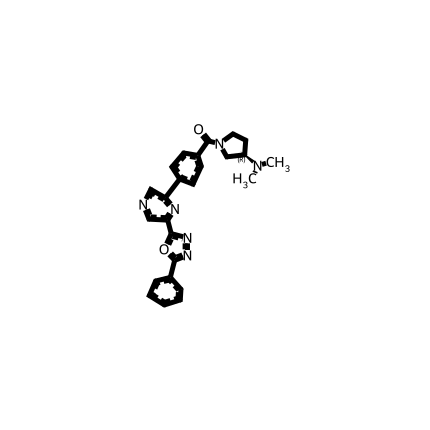 CN(C)[C@@H]1CCN(C(=O)c2ccc(-c3cncc(-c4nnc(-c5ccccc5)o4)n3)cc2)C1